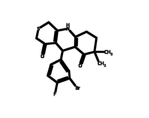 CC1(C)CCC2=C(C1=O)C(c1ccc(F)c(Br)c1)C1=C(CSCC1=O)N2